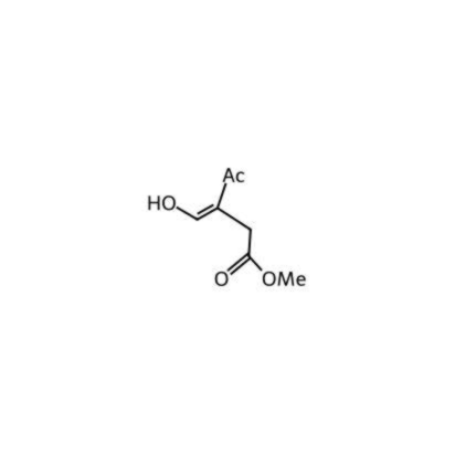 COC(=O)C/C(=C/O)C(C)=O